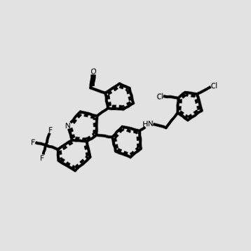 O=Cc1ccccc1-c1cnc2c(C(F)(F)F)cccc2c1-c1cccc(NCc2ccc(Cl)cc2Cl)c1